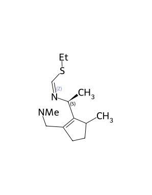 CCS/C=N\[C@@H](C)C1=C(CNC)CCC1C